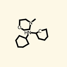 C1CCC(NC2CCCCC2)CC1.CN1CCOCC1